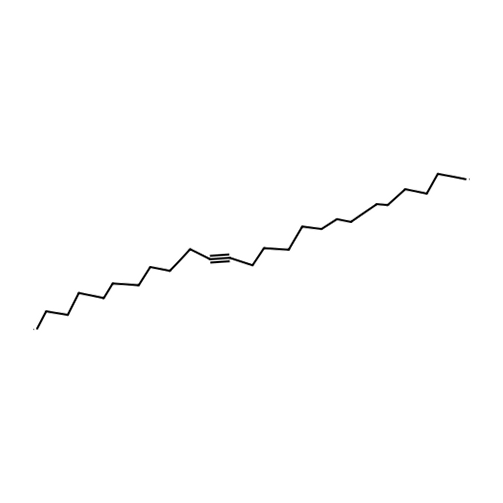 [CH2]CCCCCCCCCC#CCCCCCCCCCCCC[CH2]